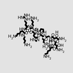 N=C(N)NCC/C=C(\NC(=O)[C@H](CCCCN)NC(=O)C(Cc1cnc[nH]1)NC(=O)[C@@H]1CCCN1C(=O)[C@@H](CCCN)NC(=O)CNC(=O)[C@@H](NC(=O)[C@@H](NC(=O)C(N)CCCCN)[C@@H](O)CN)[C@@H](O)CN)C(=O)NC(CCCCN)C(=O)NCCCCN